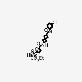 CCOC(=O)NS(=O)(=O)c1ccc(C(=O)NC2CC3(C2)CC(c2nc4cc(Cl)ccc4o2)C3)o1